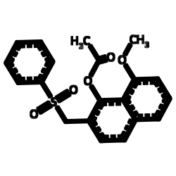 COc1cccc2ccc(CS(=O)(=O)c3ccccc3)c(OC(C)=O)c12